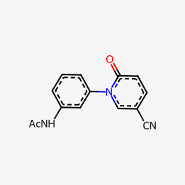 CC(=O)Nc1cccc(-n2cc(C#N)ccc2=O)c1